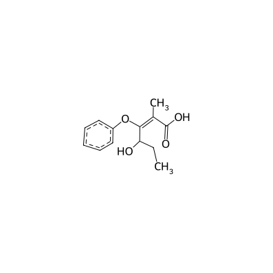 CCC(O)/C(Oc1ccccc1)=C(/C)C(=O)O